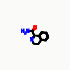 NC(=O)C1=NCCc2ccccc21